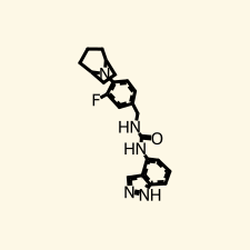 O=C(NCc1ccc(N2C3CCCC2CC3)c(F)c1)Nc1cccc2[nH]ncc12